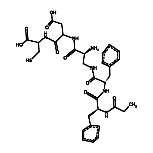 CCC(=O)N[C@@H](Cc1ccccc1)C(=O)N[C@@H](Cc1ccccc1)C(=O)NC[C@H](N)C(=O)NC(CC(=O)O)C(=O)NC(CS)C(=O)O